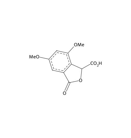 COc1cc(OC)c2c(c1)C(=O)OC2C(=O)O